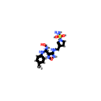 NS(=O)(=O)N1C=C(CNc2nonc2/C(=N/O)Nc2ccc(C(F)(F)F)cc2)CC1